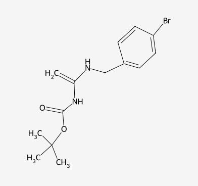 C=C(NCc1ccc(Br)cc1)NC(=O)OC(C)(C)C